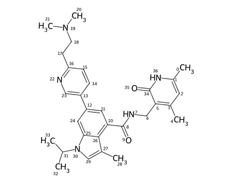 Cc1cc(C)c(CNC(=O)c2cc(-c3ccc(CCN(C)C)nc3)cc3c2c(C)cn3C(C)C)c(=O)[nH]1